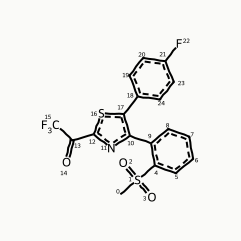 CS(=O)(=O)c1ccccc1-c1nc(C(=O)C(F)(F)F)sc1-c1ccc(F)cc1